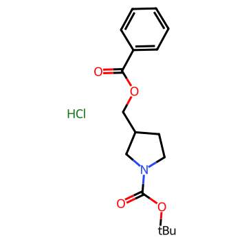 CC(C)(C)OC(=O)N1CCC(COC(=O)c2ccccc2)C1.Cl